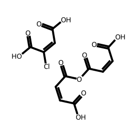 O=C(O)/C=C(/Cl)C(=O)O.O=C(O)/C=C\C(=O)OC(=O)/C=C\C(=O)O